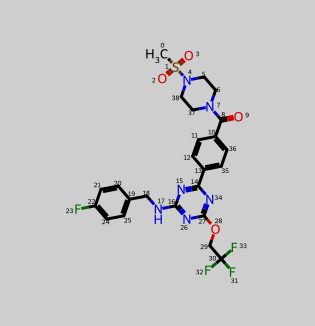 CS(=O)(=O)N1CCN(C(=O)c2ccc(-c3nc(NCc4ccc(F)cc4)nc(OCC(F)(F)F)n3)cc2)CC1